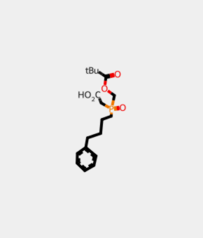 CC(C)(C)C(=O)OCP(=O)(CCCCc1ccccc1)CC(=O)O